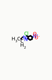 C=C(C)Cn1nc2ccc([N+](=O)[O-])cc2c1Cl